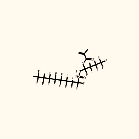 C=C(C)C(=O)OC(F)(NS(=O)(=O)C(F)(F)C(F)(F)C(F)(F)C(F)(F)C(F)(F)C(F)(F)C(F)(F)C(F)(F)F)C(F)(F)C(F)(F)C(F)(F)F